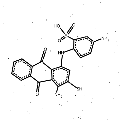 Nc1ccc(Nc2cc(S)c(N)c3c2C(=O)c2ccccc2C3=O)c(S(=O)(=O)O)c1